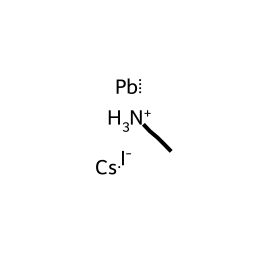 C[NH3+].[Cs].[I-].[Pb]